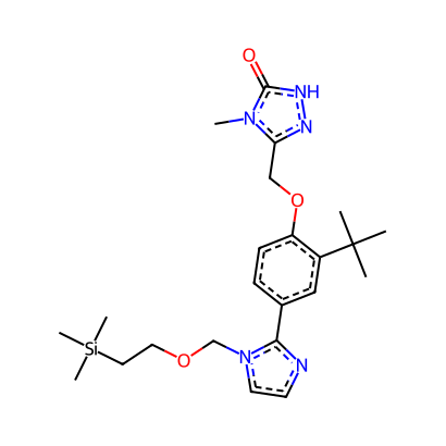 Cn1c(COc2ccc(-c3nccn3COCC[Si](C)(C)C)cc2C(C)(C)C)n[nH]c1=O